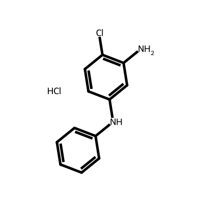 Cl.Nc1cc(Nc2ccccc2)ccc1Cl